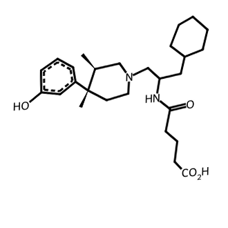 C[C@H]1CN(CC(CC2CCCCC2)NC(=O)CCCC(=O)O)CC[C@]1(C)c1cccc(O)c1